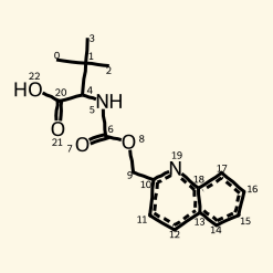 CC(C)(C)C(NC(=O)OCc1ccc2ccccc2n1)C(=O)O